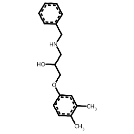 Cc1ccc(OCC(O)CNCc2ccccc2)cc1C